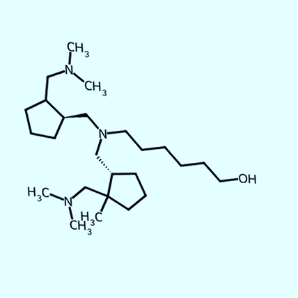 CN(C)CC1CCC[C@@H]1CN(CCCCCCO)C[C@@H]1CCCC1(C)CN(C)C